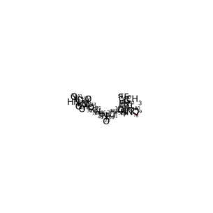 C[C@@H]1Cc2c([nH]c3ccccc23)[C@@H](c2c(F)cc(C3CCC(C(=O)N4CC(N5Cc6cc7c(cc6C5)C(=O)N(C5CCC(=O)NC5=O)C7=O)C4)CC3)cc2F)N1CC(F)F